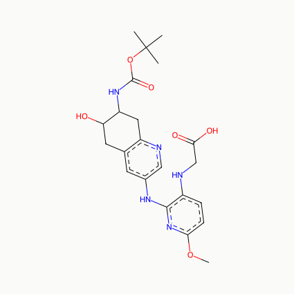 COc1ccc(NCC(=O)O)c(Nc2cnc3c(c2)CC(O)C(NC(=O)OC(C)(C)C)C3)n1